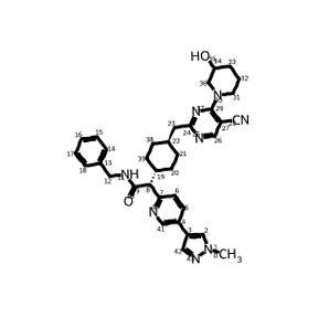 Cn1cc(-c2ccc(C(C(=O)NCc3ccccc3)[C@H]3CC[C@H](Cc4ncc(C#N)c(N5CCCC(O)C5)n4)CC3)nc2)cn1